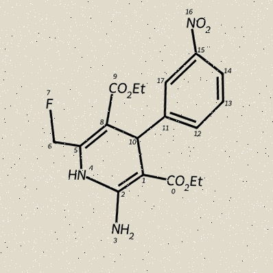 CCOC(=O)C1=C(N)NC(CF)=C(C(=O)OCC)C1c1cccc([N+](=O)[O-])c1